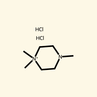 CN1CC[N+](C)(C)CC1.Cl.Cl